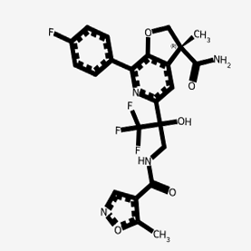 Cc1oncc1C(=O)NCC(O)(c1cc2c(c(-c3ccc(F)cc3)n1)OC[C@]2(C)C(N)=O)C(F)(F)F